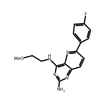 COCCNc1nc(N)nc2ccc(-c3ccc(F)cc3)nc12